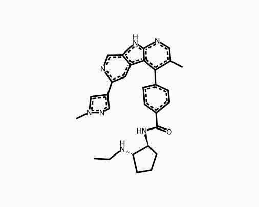 CCN[C@H]1CCC[C@@H]1NC(=O)c1ccc(-c2c(C)cnc3[nH]c4cnc(-c5cnn(C)c5)cc4c23)cc1